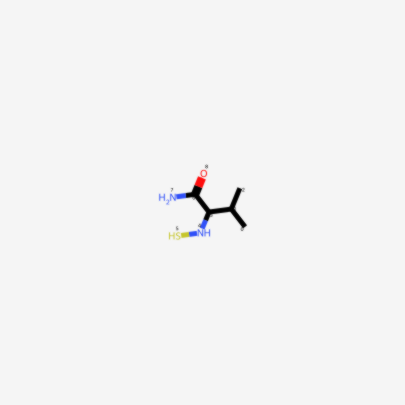 CC(C)C(NS)C(N)=O